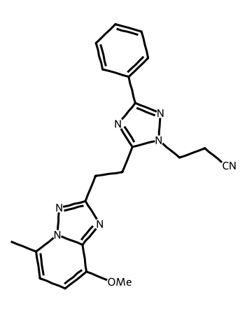 COc1ccc(C)n2nc(CCc3nc(-c4ccccc4)nn3CCC#N)nc12